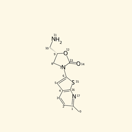 Cc1ccc2cc(N3C[C@H](CN)OC3=O)sc2n1